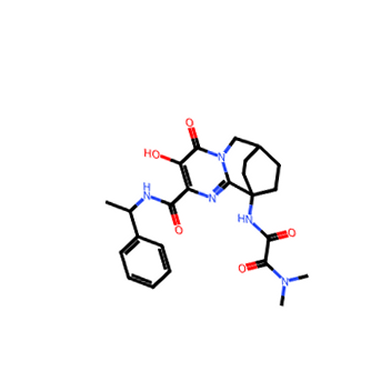 CC(NC(=O)c1nc2n(c(=O)c1O)CC1CCC2(NC(=O)C(=O)N(C)C)CC1)c1ccccc1